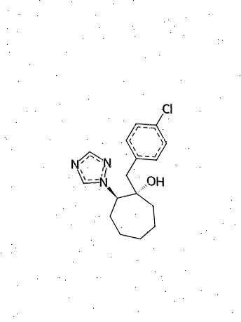 O[C@]1(Cc2ccc(Cl)cc2)CCCCC[C@H]1n1cncn1